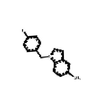 Cc1ccc2c(ccn2Cc2ccc(F)cc2)c1